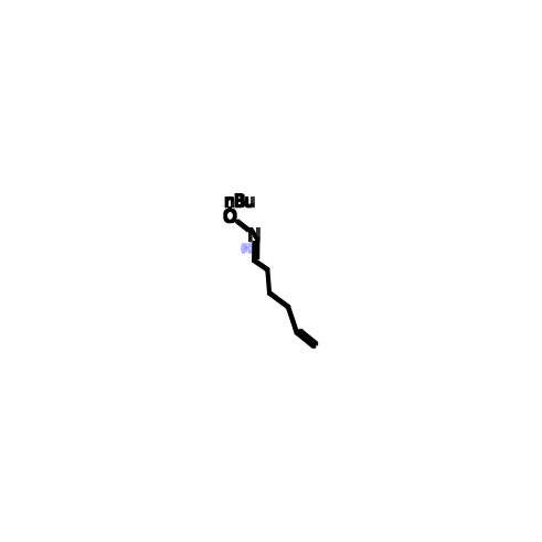 C=CCCC/C=N/OCCCC